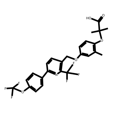 Cc1cc(OCc2ccc(-c3ccc(OC(F)(F)F)cc3)nc2C(F)(F)F)ccc1OC(C)(C)C(=O)O